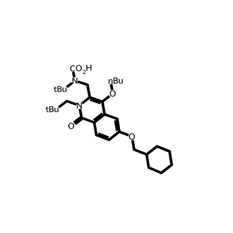 CCCCOc1c(CN(C(=O)O)C(C)(C)C)n(CC(C)(C)C)c(=O)c2ccc(OCC3CCCCC3)cc12